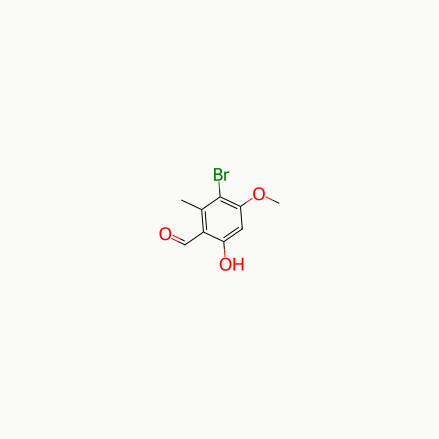 COc1cc(O)c(C=O)c(C)c1Br